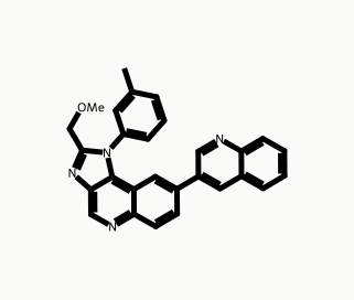 COCc1nc2cnc3ccc(-c4cnc5ccccc5c4)cc3c2n1-c1cccc(C)c1